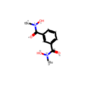 CC(C)(C)N(O)C(=O)c1cccc(C(=O)N(O)C(C)(C)C)c1